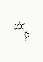 CC1=C(C)C(=O)C(CCC2(C)CCC(=O)O2)=CC1=O